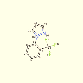 FC(F)(F)c1ccccc1-n1cccn1